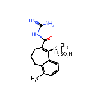 CC1=C(C(=O)NC(=N)N)CCCc2c(C)cccc21.CS(=O)(=O)O